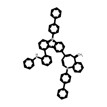 C=C1/C=C(c2ccc3c(c2)c2c(-c4ccccc4Nc4ccccc4)cccc2n3-c2ccc(-c3ccccc3)cc2)\C=C/N(c2ccc(-c3ccccc3)cc2)c2ccccc21